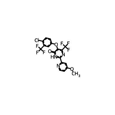 COc1ccnc(-c2nc(C(F)(F)F)c(Oc3ccc(Cl)c(C(F)(F)F)c3)c(=O)[nH]2)c1